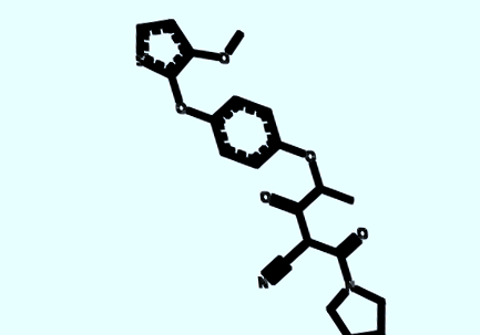 COc1ccsc1Oc1ccc(OC(C)C(=O)C(C#N)C(=O)N2CCCC2)cc1